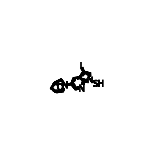 Sn1cc(I)c2cc(N3CC4CC(C3)O4)cnc21